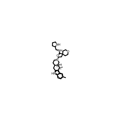 Cc1ccc2[nH]c3c(c2c1)[C@H](C)[C@H]1CN(CCC2(C(=O)NCC4CCCN4)CCOCC2)CCC1C3